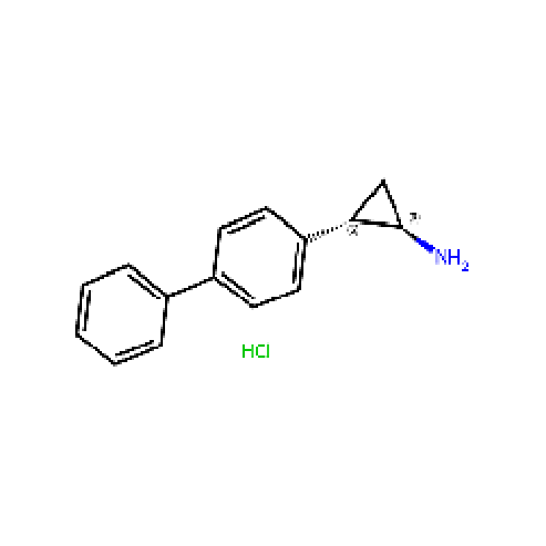 Cl.N[C@@H]1C[C@H]1c1ccc(-c2ccccc2)cc1